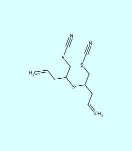 C=CCC(CSC#N)SC(CC=C)CSC#N